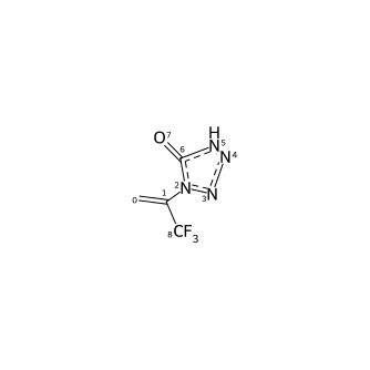 C=C(n1nn[nH]c1=O)C(F)(F)F